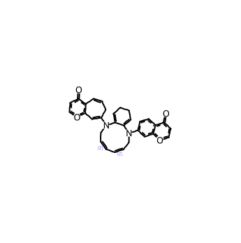 O=c1ccoc2c1C=CCC(N1C/C=C\C=C/CN(c3ccc4c(=O)ccoc4c3)C3=CCCC=C31)=C2